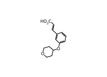 O=C(O)/C=C/c1cccc(OC2CCOCC2)c1